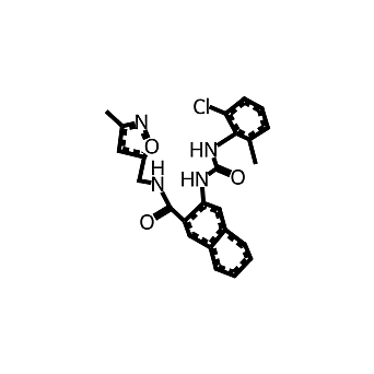 Cc1cc(CNC(=O)c2cc3ccccc3cc2NC(=O)Nc2c(C)cccc2Cl)on1